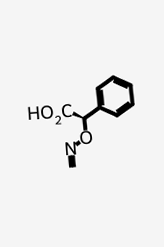 C=NO[C@@H](C(=O)O)c1ccccc1